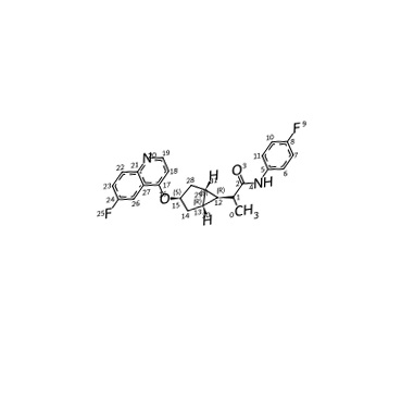 CC(C(=O)Nc1ccc(F)cc1)[C@H]1[C@@H]2C[C@@H](Oc3ccnc4ccc(F)cc34)C[C@@H]21